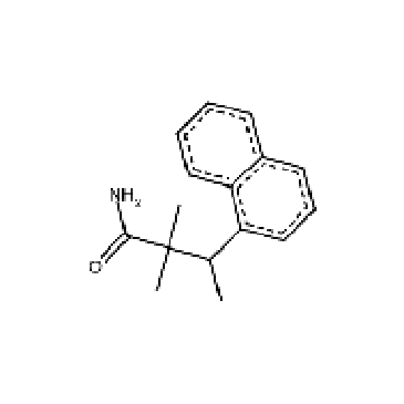 CC(c1cccc2ccccc12)C(C)(C)C(N)=O